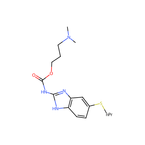 CCCSc1ccc2[nH]c(NC(=O)OCCCN(C)C)nc2c1